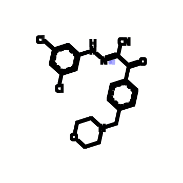 N#C/C(=N\Nc1cc(Cl)cc(Cl)c1)C(=O)c1ccc(CN2CCOCC2)cc1